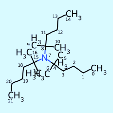 CCCCC(C)(C)N(C(C)(C)CCCC)C(C)(C)CCCC